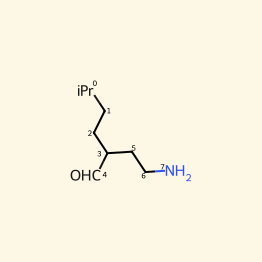 CC(C)CCC(C=O)CCN